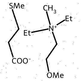 CC[N+](C)(CC)CCOC.CSCCC(=O)[O-]